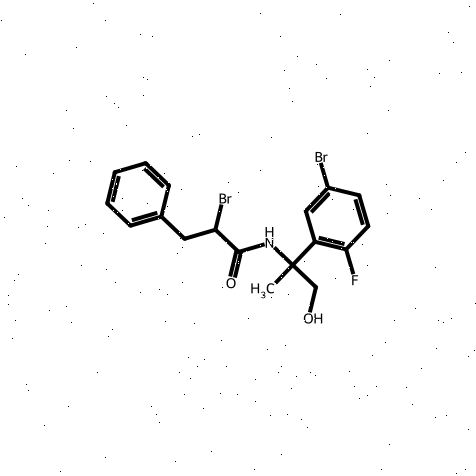 CC(CO)(NC(=O)C(Br)Cc1ccccc1)c1cc(Br)ccc1F